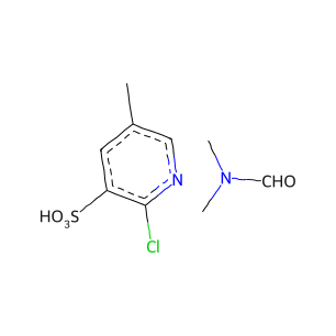 CN(C)C=O.Cc1cnc(Cl)c(S(=O)(=O)O)c1